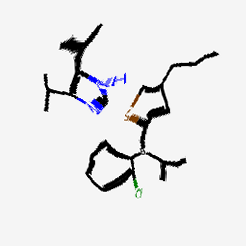 CC(C)c1nc[nH]c1C(C)C.CCCc1csc(B(c2ccccc2Cl)C(C)C)c1